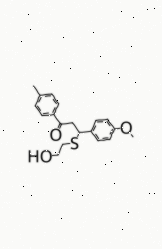 COc1ccc(C(CC(=O)c2ccc(C)cc2)SCCO)cc1